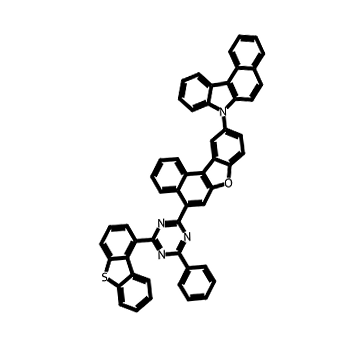 c1ccc(-c2nc(-c3cc4oc5ccc(-n6c7ccccc7c7c8ccccc8ccc76)cc5c4c4ccccc34)nc(-c3cccc4sc5ccccc5c34)n2)cc1